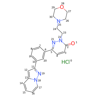 Cl.O=c1ccc(-c2cccc(-c3cc4ccccn4n3)c2)nn1CCN1CCOCC1